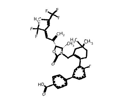 C=C(/C=C(\C=C(/C)C(F)(F)F)C(F)(F)F)[C@H]1OC(=O)N(CC2=C(c3cc(-c4ccc(C(=O)O)cc4)ccc3F)CCC(C)(C)C2)[C@H]1C